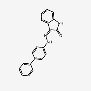 O=C1Nc2ccccc2/C1=N/Nc1ccc(-c2ccccc2)cc1